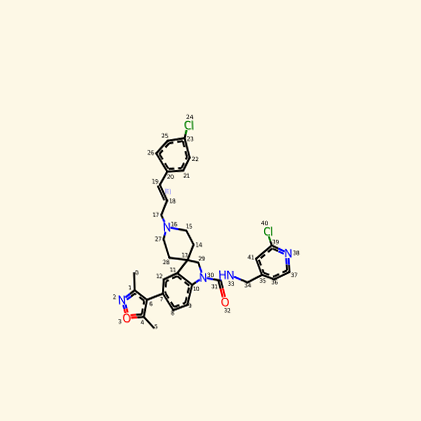 Cc1noc(C)c1-c1ccc2c(c1)C1(CCN(C/C=C/c3ccc(Cl)cc3)CC1)CN2C(=O)NCc1ccnc(Cl)c1